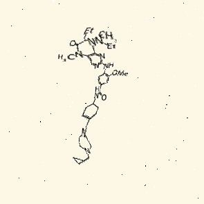 CCC1C(=O)N(C)c2cnc(Nc3ccc(C(=O)NC4CCC(N5CCN(CC6CC6)CC5)CC4)cc3OC)nc2N1N(C)CC